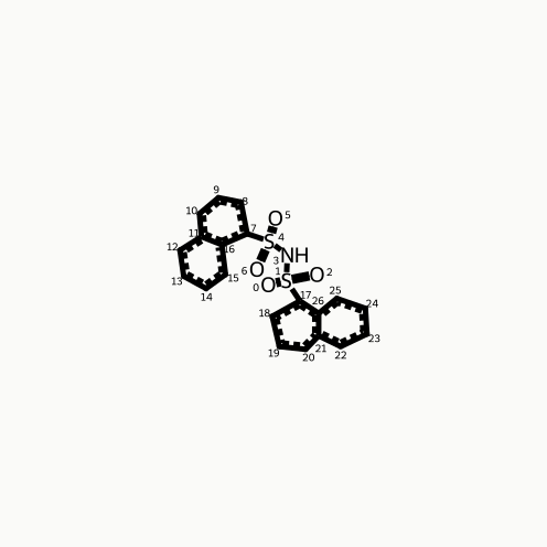 O=S(=O)(NS(=O)(=O)c1cccc2ccccc12)c1cccc2ccccc12